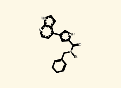 CCN(CC1=CCCC=C1)C(=O)c1cc(-c2ccnc3[nH]ccc23)c[nH]1